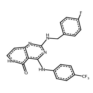 O=c1[nH]ccc2nc(NCc3ccc(F)cc3)nc(Nc3ccc(C(F)(F)F)cc3)c12